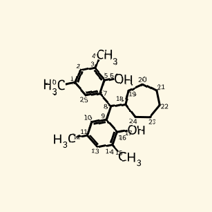 Cc1cc(C)c(O)c(C(c2cc(C)cc(C)c2O)C2CCCCCC2)c1